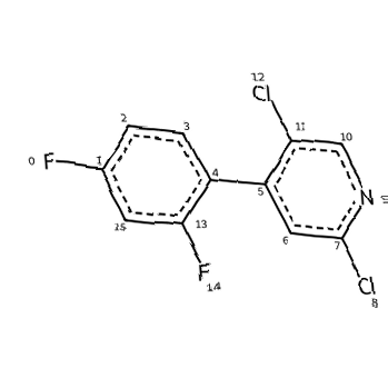 Fc1ccc(-c2cc(Cl)ncc2Cl)c(F)c1